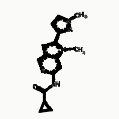 Cn1ccc(-c2cc3cnc(NC(=O)C4CC4)cc3n2C)n1